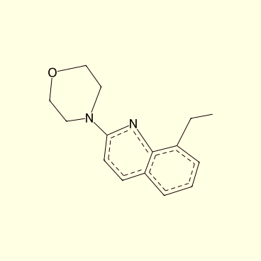 CCc1cccc2ccc(N3CCOCC3)nc12